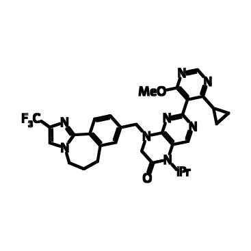 COc1ncnc(C2CC2)c1-c1ncc2c(n1)N(Cc1ccc3c(c1)CCCn1cc(C(F)(F)F)nc1-3)CC(=O)N2C(C)C